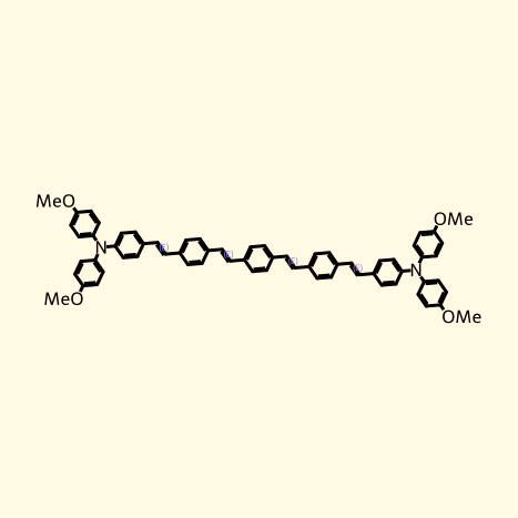 COc1ccc(N(c2ccc(/C=C/c3ccc(/C=C/c4ccc(/C=C/c5ccc(/C=C/c6ccc(N(c7ccc(OC)cc7)c7ccc(OC)cc7)cc6)cc5)cc4)cc3)cc2)c2ccc(OC)cc2)cc1